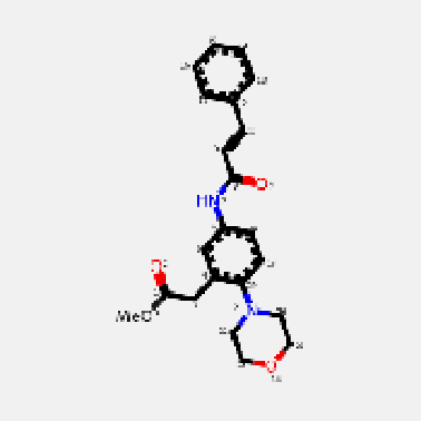 COC(=O)Cc1cc(NC(=O)/C=C/c2ccccc2)ccc1N1CCOCC1